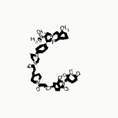 Cc1cccc(F)c1CN1C[C@H](c2ccc(N3CCN(C(=O)CCC4CCN(C(=O)COc5ccc6c(c5)C(=O)N(C5CCC(=O)NC5=O)C6=O)CC4)CC3)cc2)[C@@H](N(C)C)C1